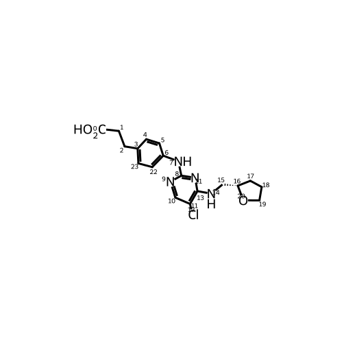 O=C(O)CCc1ccc(Nc2ncc(Cl)c(NC[C@@H]3CCCO3)n2)cc1